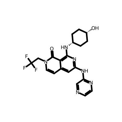 O=c1c2c(N[C@H]3CC[C@@H](O)CC3)nc(Nc3cnccn3)cc2ccn1CC(F)(F)F